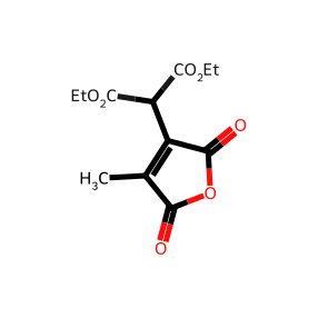 CCOC(=O)C(C(=O)OCC)C1=C(C)C(=O)OC1=O